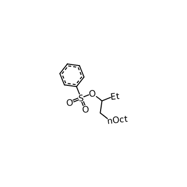 CCCCCCCCCC(CC)OS(=O)(=O)c1ccccc1